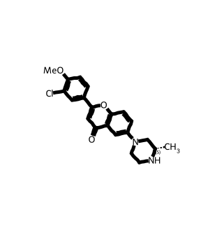 COc1ccc(-c2cc(=O)c3cc(N4CCN[C@@H](C)C4)ccc3o2)cc1Cl